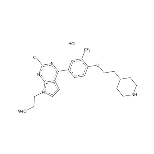 COCCn1ccc2c(-c3ccc(OCCC4CCNCC4)c(C(F)(F)F)c3)nc(Cl)nc21.Cl